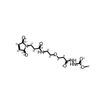 COC(=O)NNC(=O)CCOCCNC(=O)CCN1C(=O)C=CC1=O